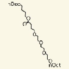 CCCCCCCCCCCCCCOC(=O)CCCOCCOCCOCCOCCCCCCCC